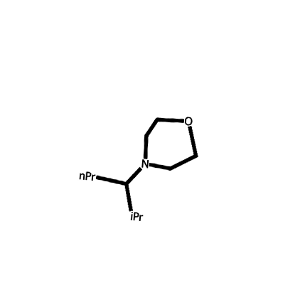 CCCC(C(C)C)N1CCOCC1